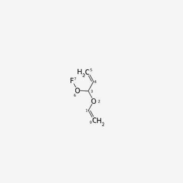 C=COC(C=C)OF